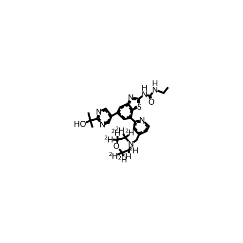 [2H]C1([2H])OC([2H])([2H])C([2H])([2H])N(Cc2ccnc(-c3cc(-c4cnc(C(C)(C)O)nc4)cc4nc(NC(=O)NCC)sc34)c2)C1([2H])[2H]